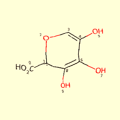 O=C(O)[C]1OC=C(O)C(O)=C1O